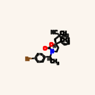 C[C@@H](c1ccc(Br)cc1)N1CC[C@@](CC(C)(C)C#N)(c2ccccc2)OC1=O